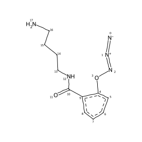 [N-]=[N+]=NOc1ccccc1C(=O)NCCCCN